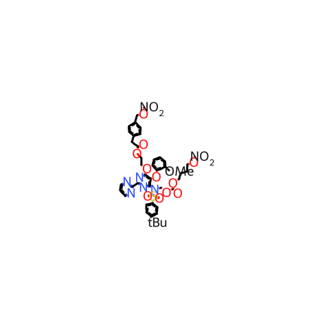 COc1ccccc1Oc1c(OCCOC(=O)Cc2ccc(CO[N+](=O)[O-])cc2)nc(-c2ncccn2)nc1N(COC(=O)OCCCCO[N+](=O)[O-])S(=O)(=O)c1ccc(C(C)(C)C)cc1